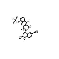 CC(c1cccc(OC(F)(F)F)c1F)N1C[C@H](C)N(c2cc(=O)n(C)c3ccc(C#N)nc23)C[C@H]1C